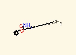 CCCCCCCCCCCCCCCCC(OCc1ccccc1)C(N)=O